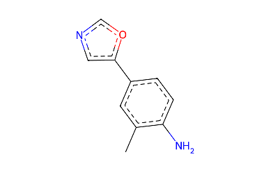 Cc1cc(-c2cnco2)ccc1N